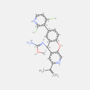 C=C(C)c1cc2c(cn1)Oc1ccc(-c3c(F)ccnc3F)cc1[C@@]21COC(N)=N1